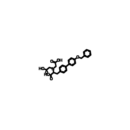 O=C(O)CN(CC(=O)O)C(Cc1ccc(-c2ccc(OCc3ccccc3)cc2)cc1)C(=O)O